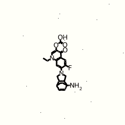 CCn1cc(OC(=O)O)c(=O)c2cc(F)c(N3CC4C5C=CC(N)(CC5)C4C3)cc21